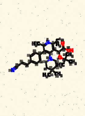 Cc1nc(C)c(C(OC(C)(C)C)C(=O)O)c(N2CCC(C)(C)CC2)c1-c1ccc(/C=C/C#N)cc1